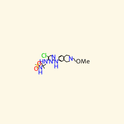 COCCN1CCc2ccc(Nc3ncc(Cl)c(NCC(C)(C)NS(C)(=O)=O)n3)cc2CC1